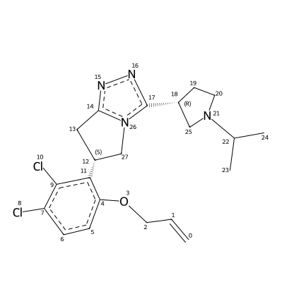 C=CCOc1ccc(Cl)c(Cl)c1[C@@H]1Cc2nnc([C@@H]3CCN(C(C)C)C3)n2C1